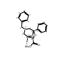 COC(=O)[C@@H]1O[C@@]2(c3ccccc3)CN(Cc3ccccc3)C[C@@H]1O2